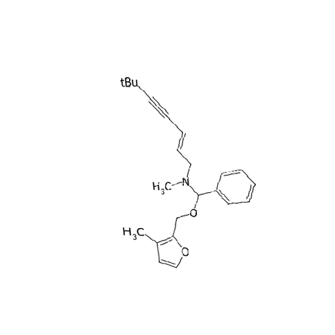 Cc1ccoc1COC(c1ccccc1)N(C)CC=CC#CC(C)(C)C